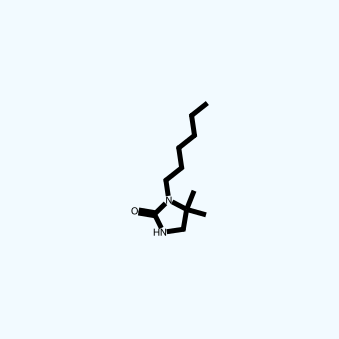 CCCCCCN1C(=O)NCC1(C)C